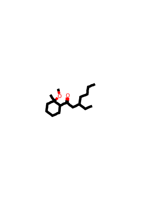 CCCCC(CC)CC(=O)C1CCCCC1(C)OC